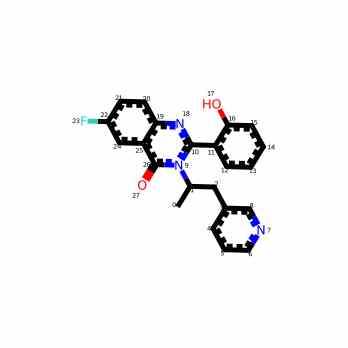 CC(Cc1cccnc1)n1c(-c2ccccc2O)nc2ccc(F)cc2c1=O